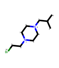 C[C](C)CN1CCN(CCBr)CC1